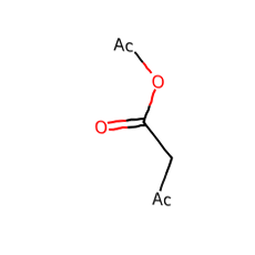 [CH2]C(=O)OC(=O)CC(C)=O